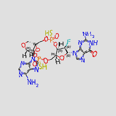 Nc1nc2c(ncn2[C@@H]2O[C@@H]3COP(=O)(S)O[C@H]4[C@H]5OC[C@]4(COP(=O)(S)O[C@H]3[C@H]2F)O[C@H]5n2cnc3c(N)ncnc32)c(=O)[nH]1